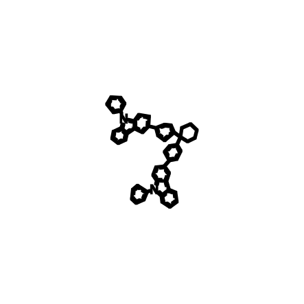 c1ccc(-n2c3ccccc3c3cc(-c4ccc(C5(c6ccc(-c7ccc8c(c7)c7ccccc7n8-c7ccccc7)cc6)CCCCC5)cc4)ccc32)cc1